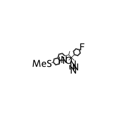 CSc1ccc2nc(C(C)C(O)(Cn3ccnn3)c3ccc(F)cc3)ccc2c1